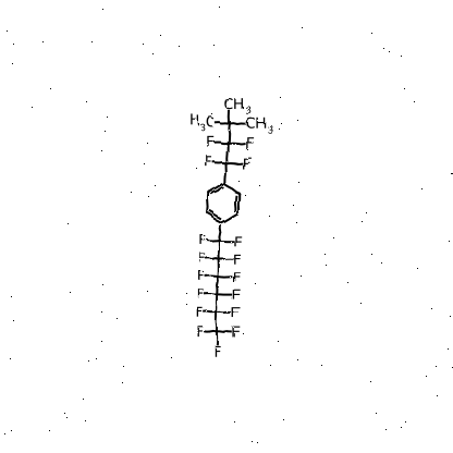 CC(C)(C)C(F)(F)C(F)(F)c1ccc(C(F)(F)C(F)(F)C(F)(F)C(F)(F)C(F)(F)C(F)(F)F)cc1